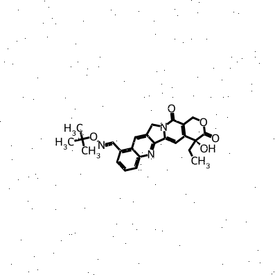 CC[C@@]1(O)C(=O)OCc2c1cc1n(c2=O)Cc2cc3c(C=NOC(C)(C)C)cccc3nc2-1